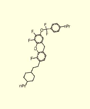 CCCc1ccc(C(F)(F)Oc2cc3c(c(F)c2F)Oc2c(ccc(CCC4CCC(CCC)CC4)c2F)C3)cc1